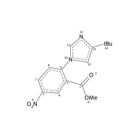 COC(=O)c1cc([N+](=O)[O-])ccc1-n1cnc(C(C)(C)C)c1